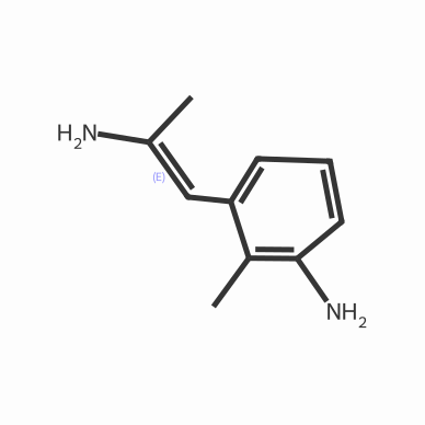 C/C(N)=C\c1cccc(N)c1C